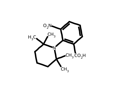 CC1(C)CCCC(C)(C)N1c1c(C(=O)O)cccc1[N+](=O)[O-]